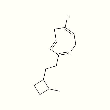 CC/C1=C/C/N=C(CCC2CCC2C)\C=C\C1